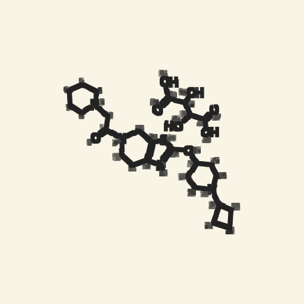 O=C(CN1CCCCC1)N1CCc2nc(OC3CCN(C4CCC4)CC3)sc2C1.O=C(O)C(O)C(O)C(=O)O